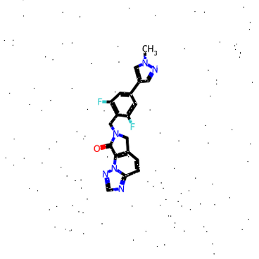 Cn1cc(-c2cc(F)c(CN3Cc4ccc5ncnn5c4C3=O)c(F)c2)cn1